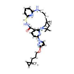 CC1(C)C[C@H]2CCCNc3cccc(n3)SNC(=O)c3ccc(-n4ccc(OCCCC5(C(F)(F)F)CC5)n4)nc3N1C2